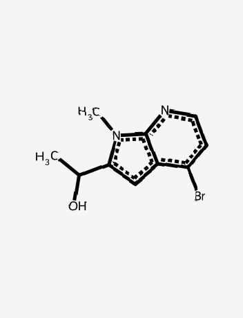 CC(O)c1cc2c(Br)ccnc2n1C